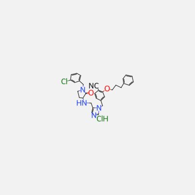 Cl.N#Cc1ccc(Cn2cncc2CNC2CCN(Cc3cccc(Cl)c3)C2=O)cc1OCCCc1ccccc1